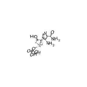 NC(=O)c1ncn([C@@H]2O[C@H](COP(=O)(O)O)C[C@H]2O)c1N